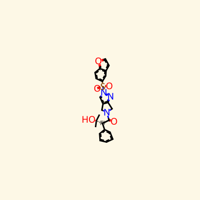 CC(C)(O)[C@H](C(=O)N1Cc2cn(S(=O)(=O)c3ccc4occc4c3)nc2C1)c1ccccc1